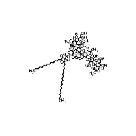 CCCCCCCCCCCCC/C=C/[C@@H](O)[C@H](CO[C@@H]1OC(CO)[C@@H](O[C@@H]2OC(CO)[C@H](O[C@@H]3OC(CO)[C@H](O)[C@H](O[C@@H]4OC(CO)[C@H](O[C@@H]5OC(CO)[C@H](O)[C@H](O)C5NC(C)=O)[C@H](O)C4O)C3NC(C)=O)[C@H](O[C@]3(C(=O)O)CC(O)[C@@H](NC(C)=O)C([C@H](O)[C@H](O)CO)O3)C2O)[C@H](O)C1O)NC(=O)CCCCCCCCCCCCCCCCCCC